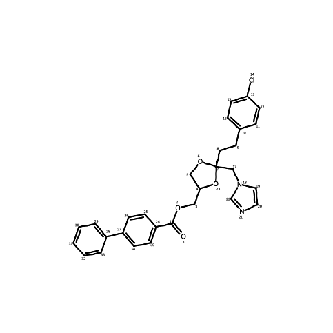 O=C(OCC1COC(CCc2ccc(Cl)cc2)(Cn2ccnc2)O1)c1ccc(-c2ccccc2)cc1